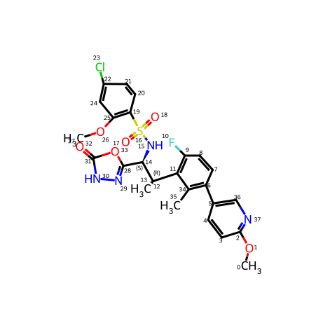 COc1ccc(-c2ccc(F)c([C@@H](C)[C@H](NS(=O)(=O)c3ccc(Cl)cc3OC)c3n[nH]c(=O)o3)c2C)cn1